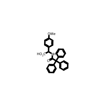 COc1ccc(C(NC(=O)C(c2ccccc2)(c2ccccc2)c2ccccc2)C(=O)O)cc1